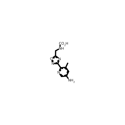 Cc1cc(N)cnc1-c1noc(CNC(=O)O)n1